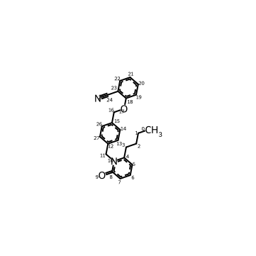 CCCCc1cccc(=O)n1Cc1ccc(COc2ccccc2C#N)cc1